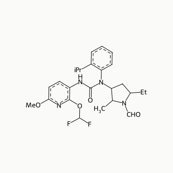 CCC1CC(N(C(=O)Nc2ccc(OC)nc2OC(F)F)c2ccccc2C(C)C)C(C)N1C=O